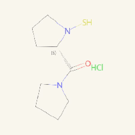 Cl.O=C([C@@H]1CCCN1S)N1CCCC1